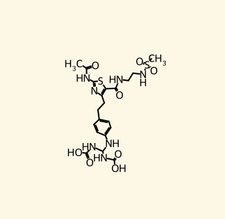 CC(=O)Nc1nc(CCc2ccc(NC(NC(=O)O)NC(=O)O)cc2)c(C(=O)NCCNS(C)(=O)=O)s1